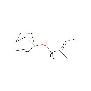 CC=C(C)[SiH2]OC12C=CC(C=C1)C2